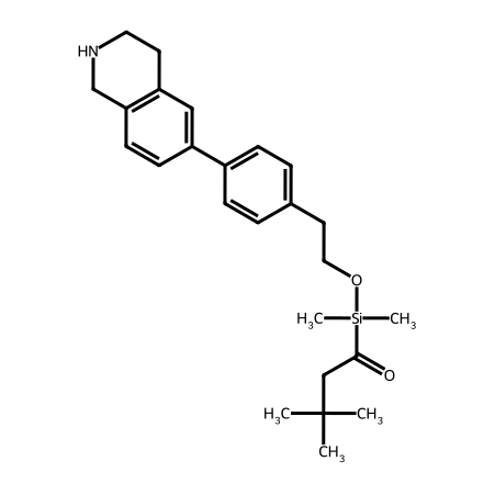 CC(C)(C)CC(=O)[Si](C)(C)OCCc1ccc(-c2ccc3c(c2)CCNC3)cc1